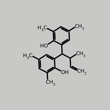 C=CC(C)C(c1cc(C)cc(C)c1O)c1cc(C)cc(C)c1O